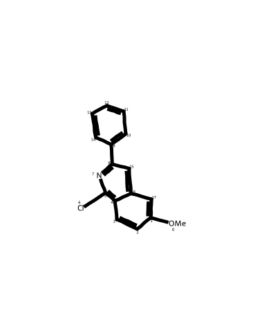 COc1ccc2c(Cl)nc(-c3ccccc3)cc2c1